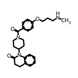 CNCCCOc1ccc(C(=O)N2CCC(N3C(=O)CCc4ccccc43)CC2)cc1